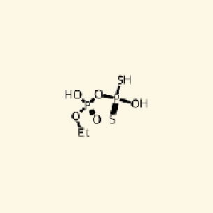 CCOP(=O)(O)OP(O)(=S)S